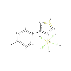 Cc1ccc(-c2cscc2S(F)(F)(F)(F)F)cc1